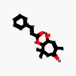 CC1=CC(O)C(OC(=O)/C=C/c2ccccc2)C(C)(C)CC1=O